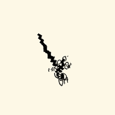 CCCCCCCCCCCCCCNC(C)(CS(=O)(=O)O)C(C)(C)C(C(=O)[O-])[N+](C)(C)C